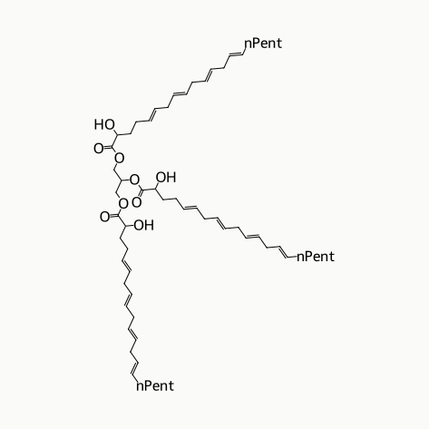 CCCCCC=CCC=CCC=CCC=CCCC(O)C(=O)OCC(COC(=O)C(O)CCC=CCC=CCC=CCC=CCCCCC)OC(=O)C(O)CCC=CCC=CCC=CCC=CCCCCC